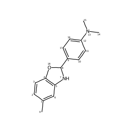 Cc1ccc2c(c1)NC(c1ccc(N(C)C)cc1)O2